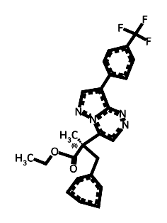 CCOC(=O)[C@](C)(Cc1ccccc1)c1cnnc2c(-c3ccc(C(F)(F)F)cc3)cnn12